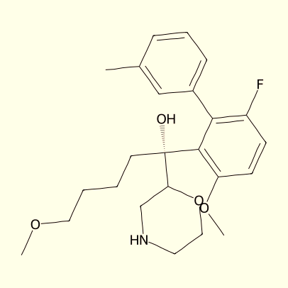 COCCCC[C@@](O)(c1c(OC)ccc(F)c1-c1cccc(C)c1)C1CNCCO1